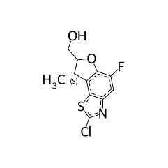 C[C@H]1c2c(c(F)cc3nc(Cl)sc23)OC1CO